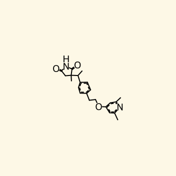 Cc1cc(OCCc2ccc(C(C)C3(C)CC(=O)NC3=O)cc2)cc(C)n1